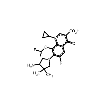 CC1(C)CN(c2c(F)cc3c(=O)c(C(=O)O)cn(C4CC4)c3c2OC(F)F)CC1N